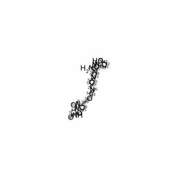 Cn1c(=O)n(C2CCC(=O)NC2=O)c2cccc(CCCO[C@H]3C[C@H](N(C)Cc4ccc(N5CCN(c6cc(-c7ccccc7O)nnc6N)CC5)cc4)C3)c21